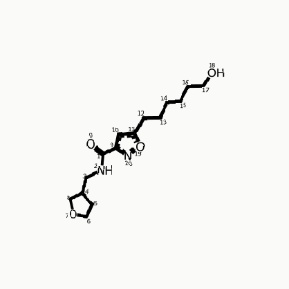 O=C(NCC1CCOC1)c1cc(CCCCCCO)on1